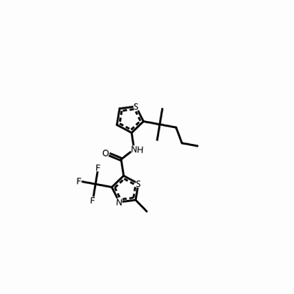 CCCC(C)(C)c1sccc1NC(=O)c1sc(C)nc1C(F)(F)F